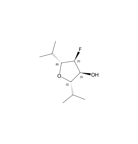 CC(C)[C@H]1O[C@@H](C(C)C)[C@H](O)[C@@H]1F